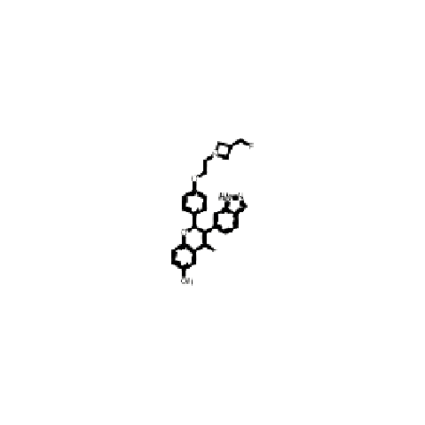 CC1=C(c2ccc3cn[nH]c3c2)C(c2ccc(OCCN3CC(CF)C3)cc2)Oc2ccc(O)cc21